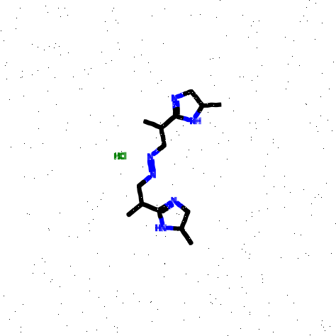 CC1CN=C(C(C)CN=NCC(C)C2=NCC(C)N2)N1.Cl